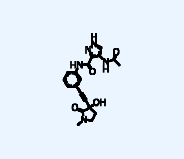 CC(=O)Nc1c[nH]nc1C(=O)Nc1cccc(C#C[C@]2(O)CCN(C)C2=O)c1